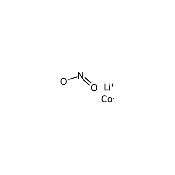 O=N[O-].[Co].[Li+]